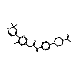 CC(=O)N1CCN(c2ccc(NC(=O)Cc3cnc(C4=CC(C)(C)NC=C4)c(C)c3)nc2)CC1